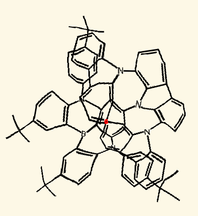 CC(C)(C)c1ccc(N2c3ccc(C(C)(C)C)cc3B3c4cc(C(C)(C)C)ccc4N(c4ccc(C(C)(C)C)cc4)c4cc(-n5c6c(-n7c8ccccc8c8ccccc87)cccc6c6cccc(-n7c8ccccc8c8ccccc87)c65)cc2c43)cc1